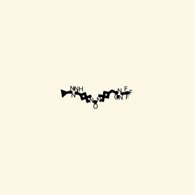 O=C(N1CC2(CC(Cc3nc(C(F)(F)F)no3)C2)C1)N1CC2(CC(c3nc(C4CC4)n[nH]3)C2)C1